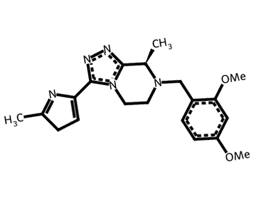 COc1ccc(CN2CCn3c(C4=CCC(C)=N4)nnc3[C@H]2C)c(OC)c1